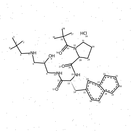 CC(C)(C)CNCC(O)CNC(=O)[C@@H](Cc1ccc2ccccc2c1)NC(=O)C1CCCN1C(=O)C(C)(C)C.Cl